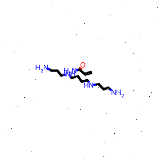 C=CC(N)=O.NCCCNCCCCNCCCN